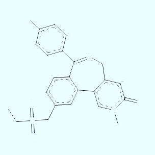 CCS(=O)(=O)Cc1ccc2c(c1)-c1cn(C)c(=O)cc1CN=C2c1ccc(F)cc1